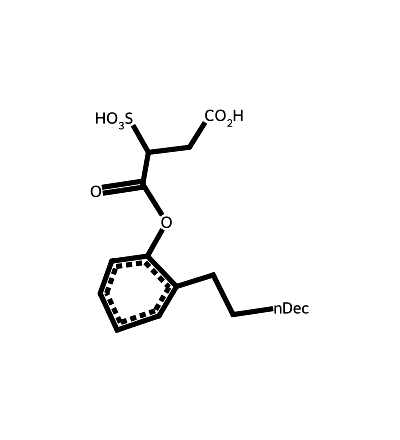 CCCCCCCCCCCCc1ccccc1OC(=O)C(CC(=O)O)S(=O)(=O)O